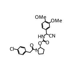 COc1ccc(C(C#N)NC(=O)O[C@H]2CCCN2C(=O)Cc2ccc(Cl)cc2)cc1OC